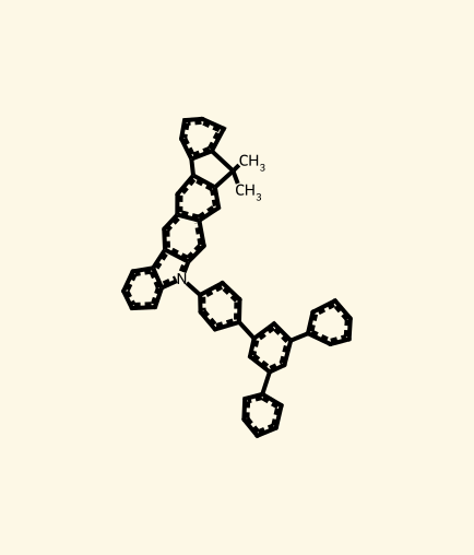 CC1(C)c2ccccc2-c2cc3cc4c5ccccc5n(-c5ccc(-c6cc(-c7ccccc7)cc(-c7ccccc7)c6)cc5)c4cc3cc21